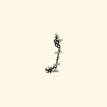 COc1c(C)c2c(c(O)c1C/C=C(\C)C(CC(=O)O)CC(=O)NCCOCCOCCNC(=O)COC1CCC3(C)C(CC[C@H]4C3CC(O)C3(C)C(C5=CC(=O)OC5)CCC43O)C1)C(=O)OC2